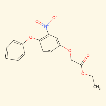 CCOC(=O)COc1ccc(Oc2ccccc2)c([N+](=O)[O-])c1